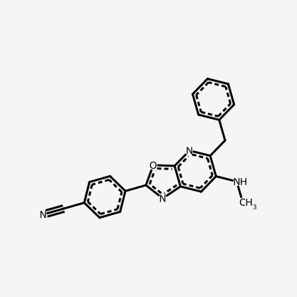 CNc1cc2nc(-c3ccc(C#N)cc3)oc2nc1Cc1ccccc1